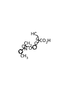 C#CCOC(CO[C@@H]1CCC[C@H](OCc2nc(-c3cccc(C)c3)oc2C)C1)C(=O)O